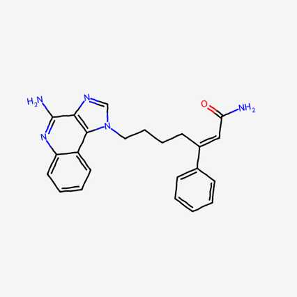 NC(=O)/C=C(\CCCCn1cnc2c(N)nc3ccccc3c21)c1ccccc1